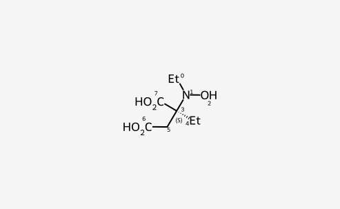 CCN(O)[C@@](CC)(CC(=O)O)C(=O)O